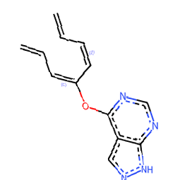 C=C/C=C\C(=C/C=C)Oc1ncnc2[nH]ncc12